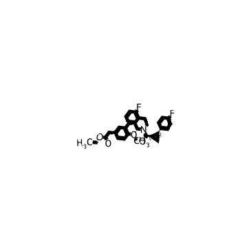 CCOC(=O)Cc1ccc(OC)c(-c2ccc(F)c3c2CN(C(=O)[C@@H]2C[C@H]2c2ccc(F)cc2)CC3)c1